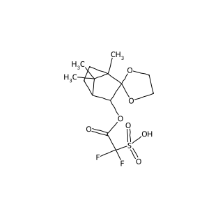 CC1(C)C2CCC1(C)C1(OCCO1)C2OC(=O)C(F)(F)S(=O)(=O)O